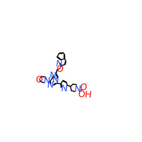 O=C(O)N1CCC(c2ccc(-c3cnc(N4CCOCC4)c4nc(COc5ccc6ccccc6n5)cn34)cn2)CC1